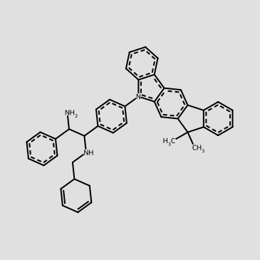 CC1(C)c2ccccc2-c2cc3c4ccccc4n(-c4ccc(C(NCC5C=CC=CC5)C(N)c5ccccc5)cc4)c3cc21